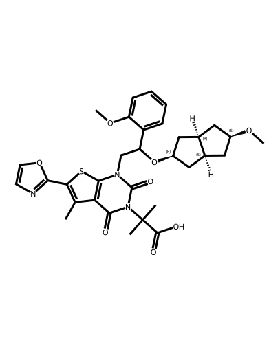 COc1ccccc1C(Cn1c(=O)n(C(C)(C)C(=O)O)c(=O)c2c(C)c(-c3ncco3)sc21)O[C@H]1C[C@H]2C[C@@H](OC)C[C@H]2C1